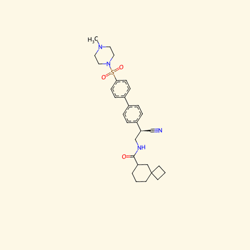 CN1CCN(S(=O)(=O)c2ccc(-c3ccc([C@@H](C#N)CNC(=O)C4CCCC5(CCC5)C4)cc3)cc2)CC1